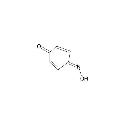 O=C1C=CC(=NO)C=C1